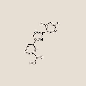 O=C(O)c1cccc(-c2ccn(-c3ccc(Cl)cc3F)n2)c1